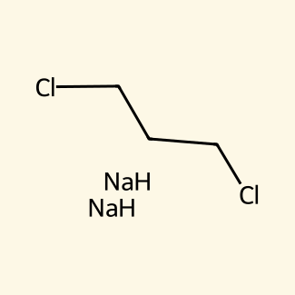 ClCCCCl.[NaH].[NaH]